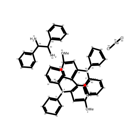 COc1cc(P(c2ccccc2)c2ccccc2)c(-c2c(P(c3ccccc3)c3ccccc3)cc(OC)nc2OC)c(OC)n1.NC(c1ccccc1)C(N)c1ccccc1.[Cl][Ru][Cl]